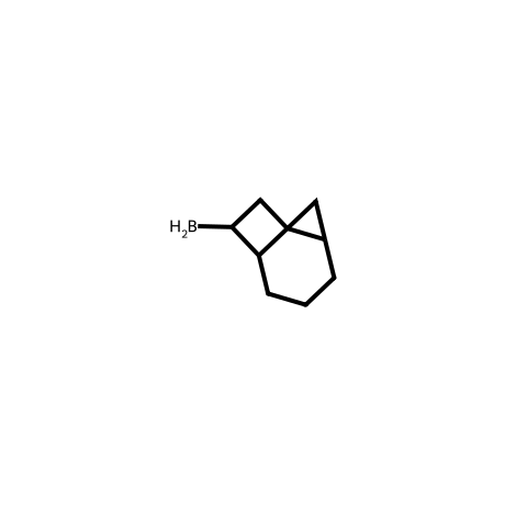 BC1CC23CC2CCCC13